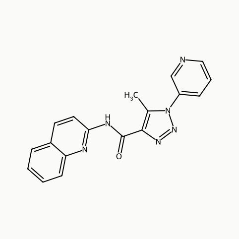 Cc1c(C(=O)Nc2ccc3ccccc3n2)nnn1-c1cccnc1